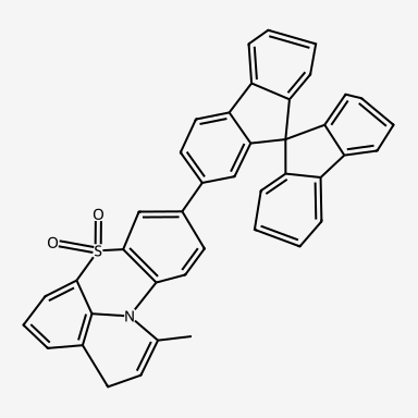 CC1=CCc2cccc3c2N1c1ccc(-c2ccc4c(c2)C2(c5ccccc5-c5ccccc52)c2ccccc2-4)cc1S3(=O)=O